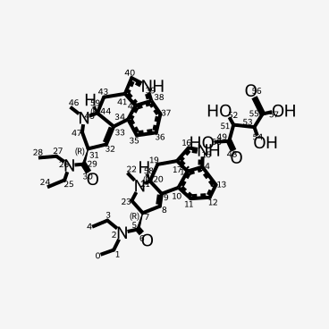 CCN(CC)C(=O)[C@@H]1C=C2c3cccc4[nH]cc(c34)C[C@H]2N(C)C1.CCN(CC)C(=O)[C@@H]1C=C2c3cccc4[nH]cc(c34)C[C@H]2N(C)C1.O=C(O)C(O)C(O)C(=O)O